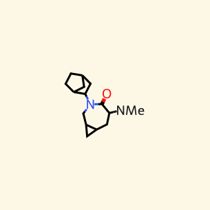 CNC1CC2CC2CN(C2CC3CCC2C3)C1=O